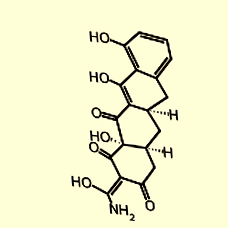 N/C(O)=C1\C(=O)C[C@@H]2C[C@@H]3Cc4cccc(O)c4C(O)=C3C(=O)[C@]2(O)C1=O